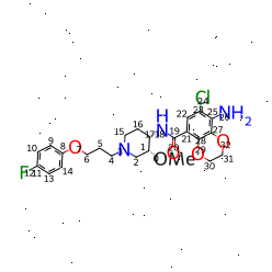 CO[C@@H]1CN(CCCOc2ccc(F)cc2)CC[C@@H]1NC(=O)c1cc(Cl)c(N)c2c1OCCO2